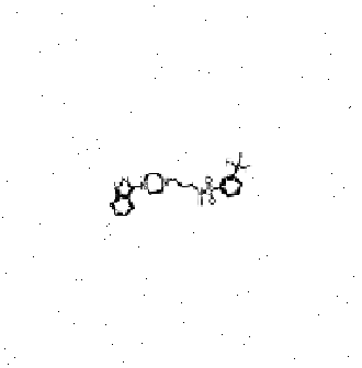 O=S(=O)(NCCCN1CCN(c2nsc3ccccc23)CC1)c1cccc(C(F)(F)F)c1